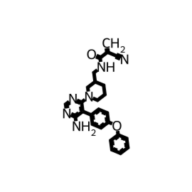 C=C(C#N)C(=O)NCC1CCCN(c2ncnc(N)c2-c2ccc(Oc3ccccc3)cc2)C1